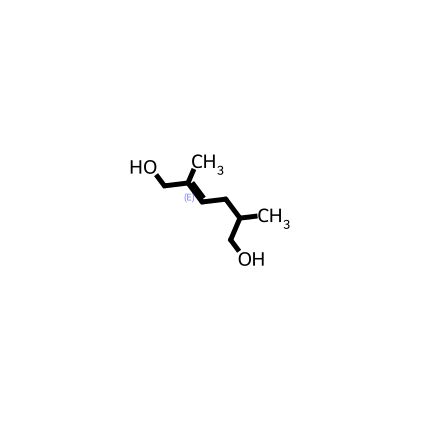 C/C(=C\CC(C)CO)CO